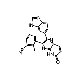 Cc1c(C#N)cccc1-c1nc2[nH]c(=O)ccc2nc1-c1ccc2nc[nH]c2c1